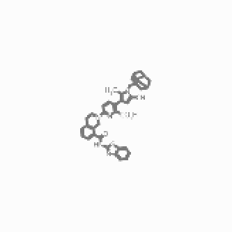 Cc1c(-c2ccc(N3CCc4cccc(C(=O)Nc5nc6ccccc6s5)c4C3)nc2C(=O)O)cc(C#N)n1CC12CC3CC(CC(C3)C1)C2